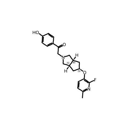 Cc1ccc(O[C@H]2C[C@@H]3CN(CC(=O)c4ccc(O)cc4)C[C@@H]3C2)c(F)n1